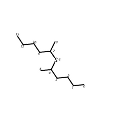 CCCCC(C)SC(C)CCCC